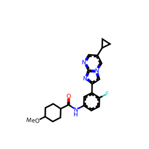 COC1CCC(C(=O)Nc2ccc(F)c(-c3cn4cc(C5CC5)cnc4n3)c2)CC1